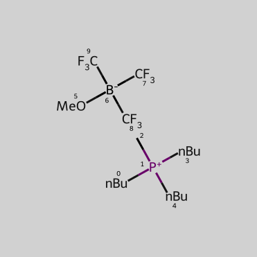 CCCC[P+](C)(CCCC)CCCC.CO[B-](C(F)(F)F)(C(F)(F)F)C(F)(F)F